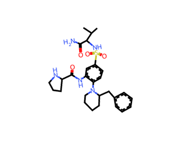 CC(C)C(NS(=O)(=O)c1ccc(N2CCCCC2Cc2ccccc2)c(NC(=O)C2CCCN2)c1)C(N)=O